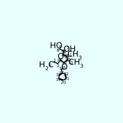 C=CC[C@H]1OC([C@H](O)CO)[C@@H](C)[C@H](C)C1OCc1ccccc1